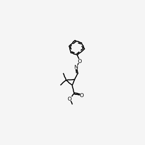 COC(=O)C1C(C=NOc2ccccc2)C1(C)C